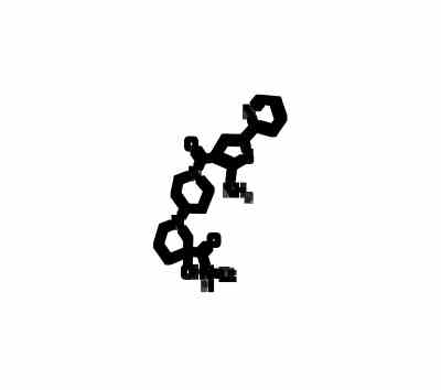 CCNC(=O)C1(O)CCCN(C2CCN(C(=O)c3cc(-c4ccccn4)sc3N)CC2)C1